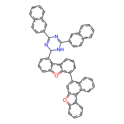 c1ccc2cc(C3=NC(c4cccc5oc6c(-c7cc8oc9ccccc9c8c8ccccc78)cccc6c45)NC(c4ccc5ccccc5c4)=N3)ccc2c1